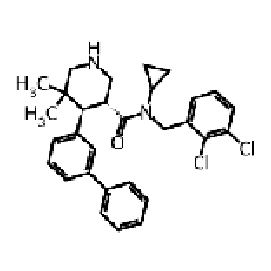 CC1(C)CNC[C@H](C(=O)N(Cc2cccc(Cl)c2Cl)C2CC2)[C@H]1c1cccc(-c2ccccc2)c1